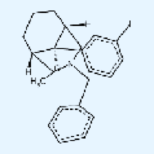 CO[C@@]1(c2cccc(I)c2)[C@@H]2CCC[C@H]1CN(Cc1ccccc1)C2